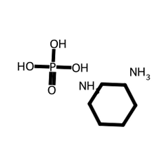 C1CCCCC1.N.N.O=P(O)(O)O